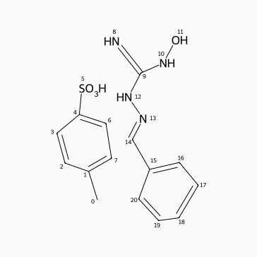 Cc1ccc(S(=O)(=O)O)cc1.N=C(NO)NN=Cc1ccccc1